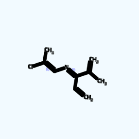 C=C/C(=N\C=C(/C)Cl)C(=C)C